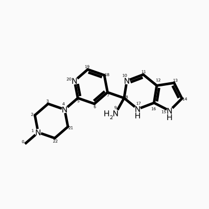 CN1CCN(c2cc(C3(N)N=Cc4cc[nH]c4N3)ccn2)CC1